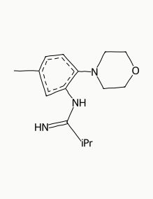 Cc1ccc(N2CCOCC2)c(NC(=N)C(C)C)c1